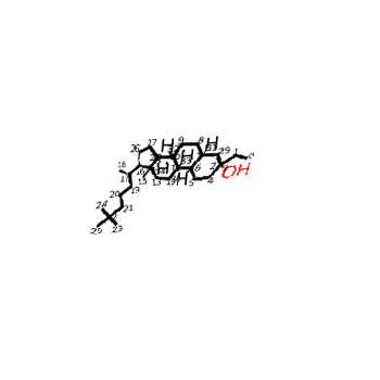 CC[C@]1(O)CC[C@H]2[C@@H](CC[C@@H]3[C@@H]2CC[C@]2(C)[C@@H]([C@H](C)CCCC(C)(C)C)CC[C@@H]32)C1